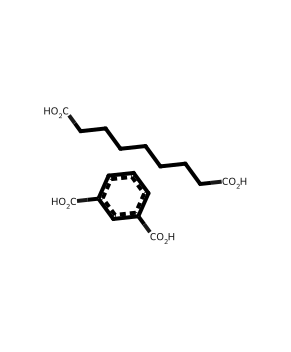 O=C(O)CCCCCCCC(=O)O.O=C(O)c1cccc(C(=O)O)c1